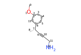 COc1cccc([C@@H](C)C#CCN)c1